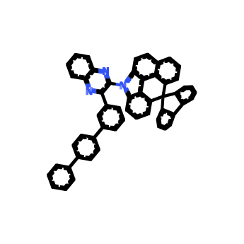 c1ccc(-c2ccc(-c3cccc(-c4nc5ccccc5nc4-n4c5cccc6c5c5c7c(cccc7ccc54)C64c5ccccc5-c5ccccc54)c3)cc2)cc1